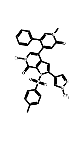 CCn1cc(-c2cc(=O)n(C)cc2-c2ccccc2)c2cc(-c3cnn(C(F)(F)F)c3)n(S(=O)(=O)c3ccc(C)cc3)c2c1=O